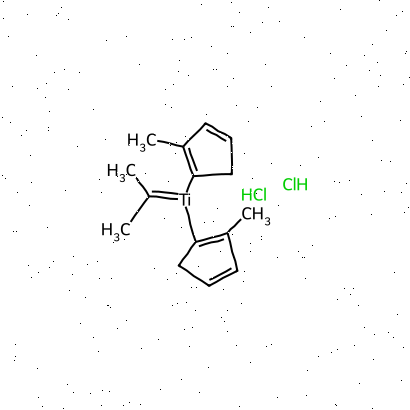 CC1=[C]([Ti]([C]2=C(C)C=CC2)=[C](C)C)CC=C1.Cl.Cl